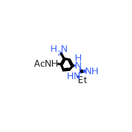 CCNC(=N)Nc1ccc(NC(C)=O)c(CN)c1